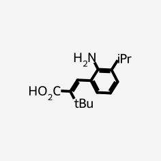 CC(C)c1cccc(/C=C(/C(=O)O)C(C)(C)C)c1N